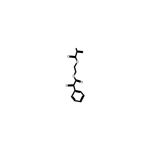 C=C(C)C(=O)OCCOC(=O)C(=O)c1ccccc1